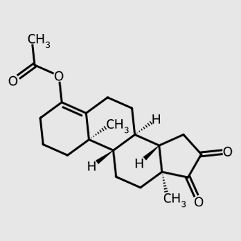 CC(=O)OC1=C2CC[C@@H]3[C@H](CC[C@]4(C)C(=O)C(=O)C[C@@H]34)[C@@]2(C)CCC1